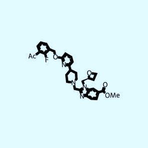 COC(=O)c1ccc2nc(CN3CCC(c4cccc(OCc5cccc(C(C)=O)c5F)n4)CC3)n(C[C@@H]3CCO3)c2c1